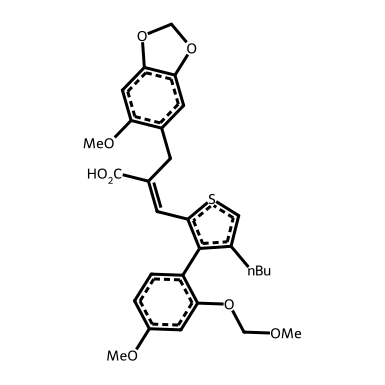 CCCCc1csc(/C=C(\Cc2cc3c(cc2OC)OCO3)C(=O)O)c1-c1ccc(OC)cc1OCOC